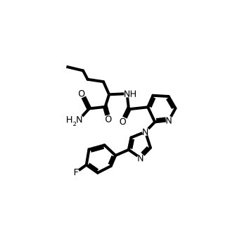 CCCCC(NC(=O)c1cccnc1-n1cnc(-c2ccc(F)cc2)c1)C(=O)C(N)=O